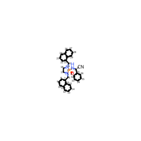 N#C[C@@H](NP1(=O)N(Cc2cccc3ccccc23)CCN1Cc1cccc2ccccc12)c1ccccc1